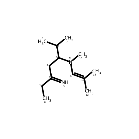 CCC(=N)CC(C(C)C)N(C)C=C(C)C